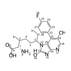 CCC(CCC(C)[C@H](N)C(=O)O)n1c(O)nc2ncc(Cl)c(-c3ccc(F)cc3)c21